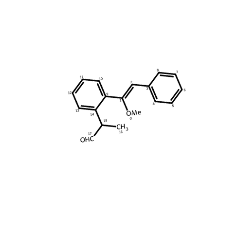 CO/C(=C\c1ccccc1)c1ccccc1C(C)C=O